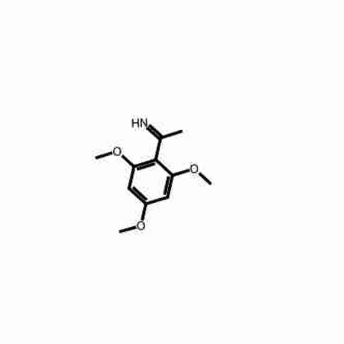 COc1cc(OC)c(C(C)=N)c(OC)c1